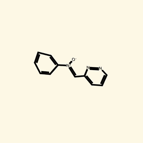 [O-][N+](=Cc1cccnn1)c1ccccc1